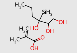 C=C(C)C(=O)O.CCCC(O)([SiH3])C(O)CO